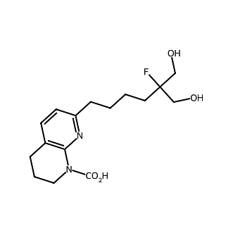 O=C(O)N1CCCc2ccc(CCCCC(F)(CO)CO)nc21